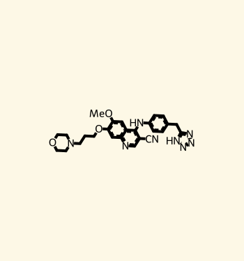 COc1cc2c(Nc3ccc(Cc4nnn[nH]4)cc3)c(C#N)cnc2cc1OCCCN1CCOCC1